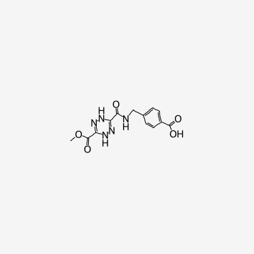 COC(=O)C1=NNC(C(=O)NCc2ccc(C(=O)O)cc2)=NN1